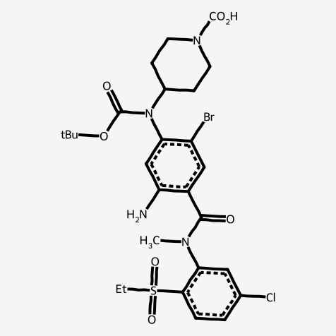 CCS(=O)(=O)c1ccc(Cl)cc1N(C)C(=O)c1cc(Br)c(N(C(=O)OC(C)(C)C)C2CCN(C(=O)O)CC2)cc1N